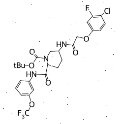 CC(C)(C)OC(=O)N1CC(NC(=O)COc2ccc(Cl)c(F)c2)CCC1C(=O)Nc1cccc(OC(F)(F)F)c1